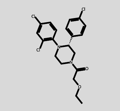 CCOCC(=O)N1CCN(c2ccc(Cl)cc2Cl)[C@H](c2ccc(Cl)cc2)C1